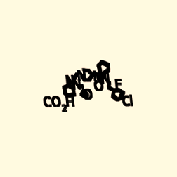 O=C(O)c1ccc2nc(CN3CCC(n4c(=O)n(CCc5ccc(Cl)cc5F)c5ccccc54)CC3)n(C[C@@H]3CCO3)c2c1